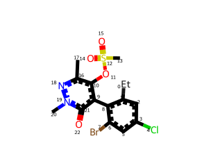 CCc1cc(Cl)cc(Br)c1-c1c(OS(C)(=O)=O)c(C)nn(C)c1=O